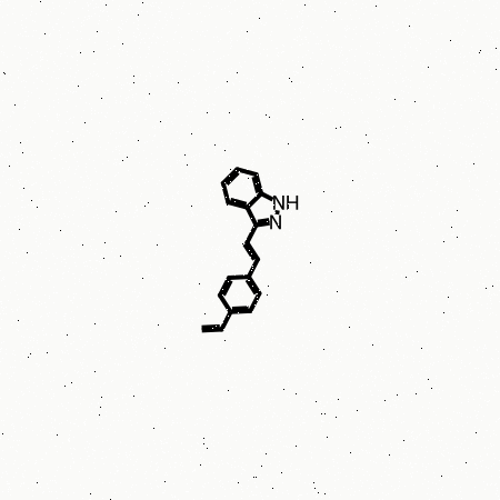 C=Cc1ccc(/C=C/c2n[nH]c3ccccc23)cc1